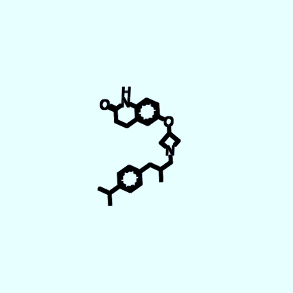 CC(Cc1ccc(C(C)C)cc1)CN1CC(Oc2ccc3c(c2)CCC(=O)N3)C1